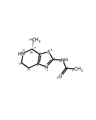 CC(=O)Nc1nc2c(s1)[C@@H](C)NCC2